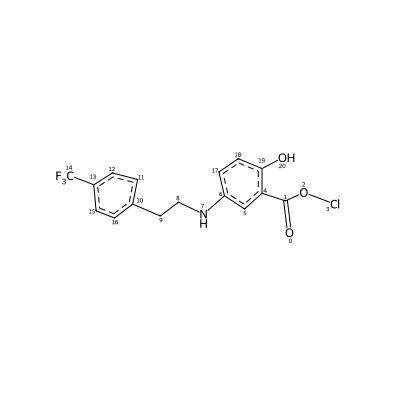 O=C(OCl)c1cc(NCCc2ccc(C(F)(F)F)cc2)ccc1O